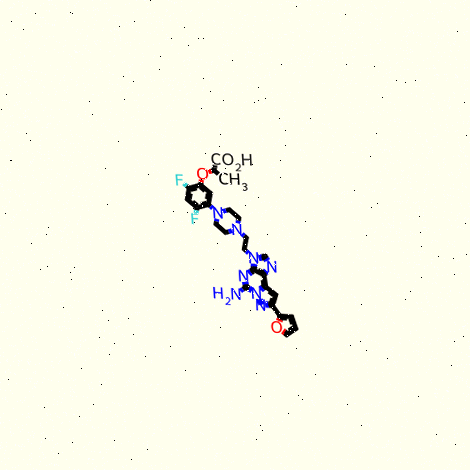 CC(Oc1cc(N2CCN(CCn3cnc4c3nc(N)n3nc(-c5ccco5)cc43)CC2)c(F)cc1F)C(=O)O